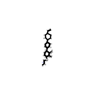 C=CC1CCC(c2ccc(-c3ccc(O/C=C/C)c(F)c3F)cc2)CC1